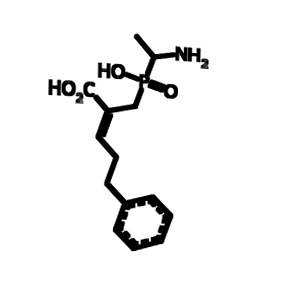 CC(N)P(=O)(O)CC(=CCCc1ccccc1)C(=O)O